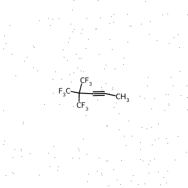 CC#CC(C(F)(F)F)(C(F)(F)F)C(F)(F)F